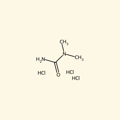 CN(C)C(N)=O.Cl.Cl.Cl